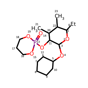 CCC1OC(OC2CCCCC2)C(OP2(=O)OCCCO2)C(C)C1C